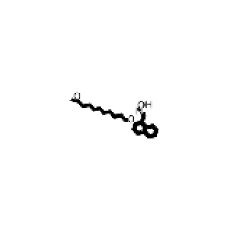 ON=Cc1c(OCCCCCCCCCC2CO2)ccc2ccccc12